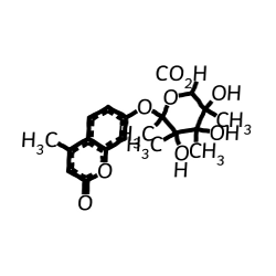 Cc1cc(=O)oc2cc(OC3(C)OC(C(=O)O)C(C)(O)C(C)(O)C3(C)O)ccc12